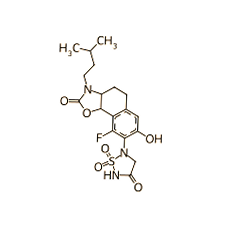 CC(C)CCN1C(=O)OC2c3c(cc(O)c(N4CC(=O)NS4(=O)=O)c3F)CCC21